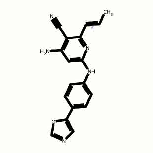 C/C=C/c1nc(Nc2ccc(-c3cnco3)cc2)cc(N)c1C#N